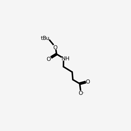 CC(C)(C)OC(=O)NCCCC([O])=O